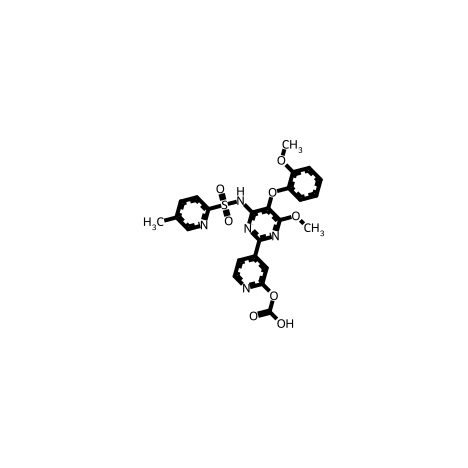 COc1ccccc1Oc1c(NS(=O)(=O)c2ccc(C)cn2)nc(-c2ccnc(OC(=O)O)c2)nc1OC